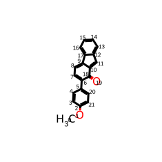 COc1ccc(C2=CC=C3C(=Cc4ccccc43)C2=O)cc1